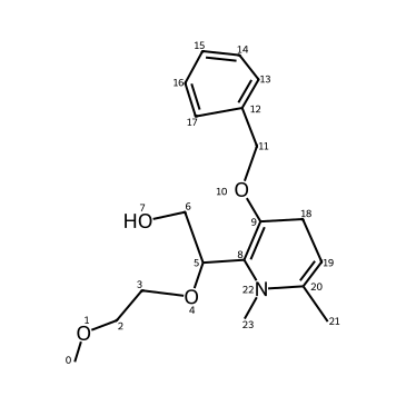 COCCOC(CO)C1=C(OCc2ccccc2)CC=C(C)N1C